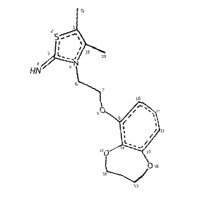 Cc1sc(=N)n(CCOc2cccc3c2OCCO3)c1C